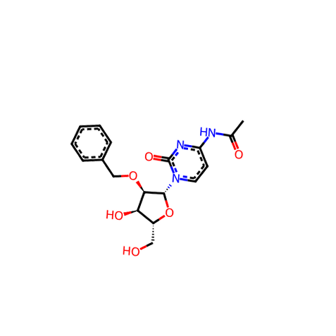 CC(=O)Nc1ccn([C@@H]2O[C@H](CO)[C@@H](O)[C@H]2OCc2ccccc2)c(=O)n1